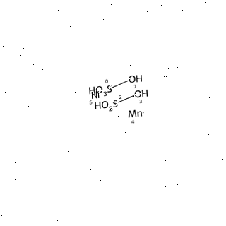 O=S(=O)(O)O.O=S(=O)(O)O.[Mn].[Ni]